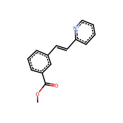 COC(=O)c1cccc(/C=C/c2ccccn2)c1